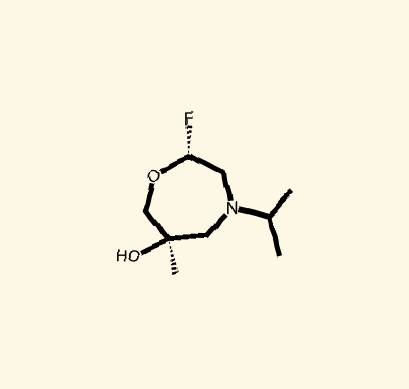 CC(C)N1C[C@@H](F)OC[C@](C)(O)C1